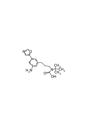 CC(C)(C)N(CCCc1cc(N)cc(-c2cnco2)c1)C(=O)O